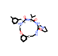 Cc1cccc(C[C@H]2NCCOc3ccccc3CCCNC(=O)[C@H](CN3CCCC3)NC(=O)[C@@H](C(C)C)NC2=O)c1